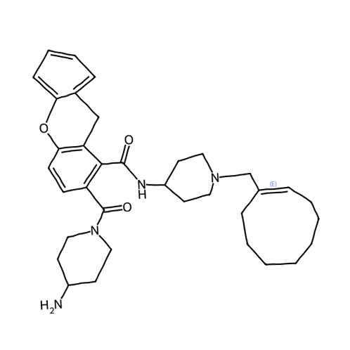 NC1CCN(C(=O)c2ccc3c(c2C(=O)NC2CCN(C/C4=C/CCCCCCC4)CC2)Cc2ccccc2O3)CC1